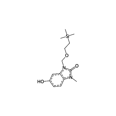 Cn1c(=O)n(COCC[Si](C)(C)C)c2cc(O)ccc21